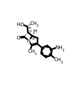 CC1=C(c2ccc(C)c(N)c2)C[C@@H]2[C@@H]([C@@H](C)O)C(=O)N12